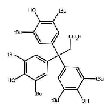 CC(C)(C)c1cc(C(CC(=O)O)(c2cc(C(C)(C)C)c(O)c(C(C)(C)C)c2)c2cc(C(C)(C)C)c(O)c(C(C)(C)C)c2)cc(C(C)(C)C)c1O